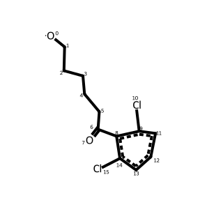 [O]CCCCCC(=O)c1c(Cl)cccc1Cl